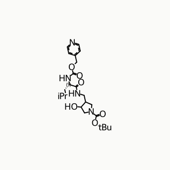 CC(C)C[C@H](NC(=O)OCc1ccncc1)C(=O)NCC1CN(C(=O)OC(C)(C)C)CC1O